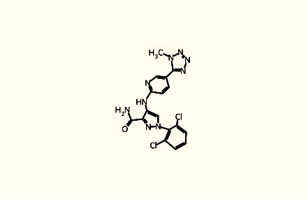 Cn1nnnc1-c1ccc(Nc2cn(-c3c(Cl)cccc3Cl)nc2C(N)=O)nc1